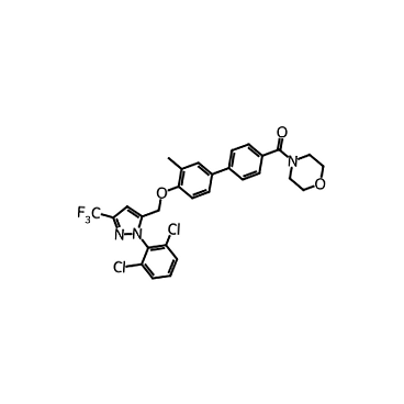 Cc1cc(-c2ccc(C(=O)N3CCOCC3)cc2)ccc1OCc1cc(C(F)(F)F)nn1-c1c(Cl)cccc1Cl